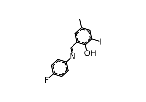 Cc1cc(I)c(O)c(/C=N/c2ccc(F)cc2)c1